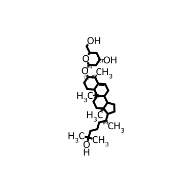 C[C@H](CCCC(C)(C)O)C1CCC2C3CC=C4C(CC[C@H](O[C@H]5C[C@@H](O)CC(CO)O5)[C@@H]4C)[C@]3(C)CC[C@@]21C